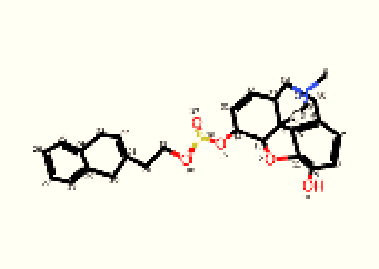 CN1CCC23c4c5ccc(O)c4OC2C(OS(=O)OCCC2=CCc4ccccc4C2)C=CC3C1C5